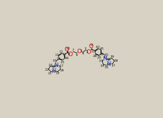 O=C(OCCOCCOC(=O)c1ccc(CN2CCCN3CCCC32)cc1)c1ccc(CN2CCCN3CCCC32)cc1